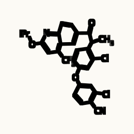 CC(C)Oc1cc(C(F)(F)F)c2cc(C(=O)C(C)c3ccc(Oc4ccc(C#N)c(Cl)c4)cc3Cl)ccc2n1